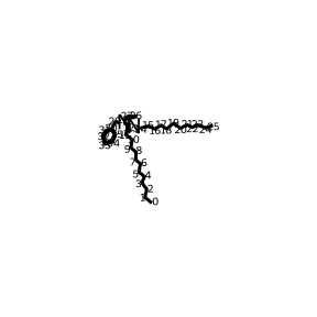 CCCCCCCCCCCCC1N(CCCCCCCCCCCC)C=CN1Cc1ccccc1